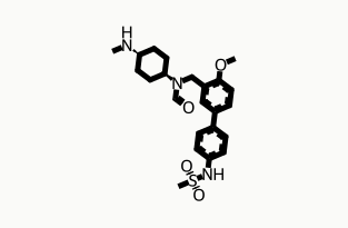 CN[C@H]1CC[C@H](N(C=O)Cc2cc(-c3ccc(NS(C)(=O)=O)cc3)ccc2OC)CC1